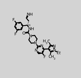 CCn1nc(C)c(-c2nc(N3CCN(C(=O)N[C@@H](CC=N)c4cc(F)cc(F)c4)CC3)ncc2F)c1C